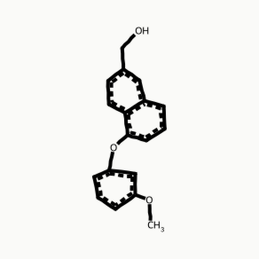 COc1cccc(Oc2cccc3cc(CO)ccc23)c1